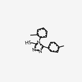 Cc1ccc(-c2nnc(S)n2-c2ccccc2C)cc1